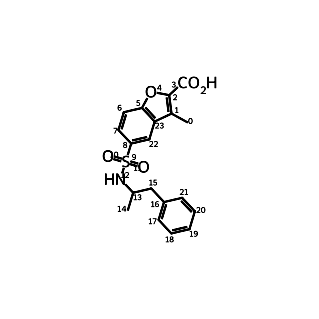 Cc1c(C(=O)O)oc2ccc(S(=O)(=O)NC(C)Cc3ccccc3)cc12